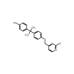 CC(C)(c1ccc(O)cc1)c1ccc(OCc2ccnc(Cl)n2)cc1